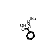 CC(C)(C)N=NC(OO)c1ccccc1